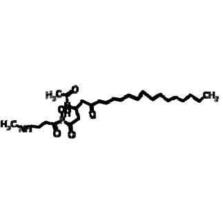 CCCCCCCCCCCCCCCC(=O)CC(CC(=O)P(O)C(=O)CCCNC)NC(C)=O